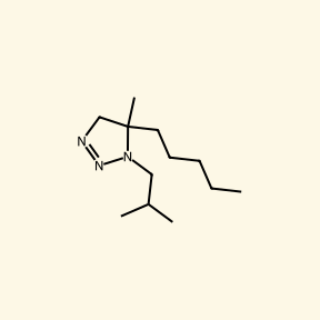 CCCCCC1(C)CN=NN1CC(C)C